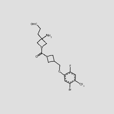 NC1(CCC=O)CN(C(=O)N2CC(COc3cc(Br)c(C(F)(F)F)cc3F)C2)C1